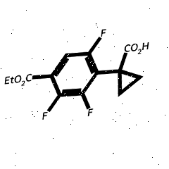 CCOC(=O)c1cc(F)c(C2(C(=O)O)CC2)c(F)c1F